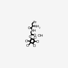 CC(C)CC(N)C(=O)NCC(=O)Oc1c(Cl)c(Cl)c(Cl)c(Cl)c1Cl.Cl